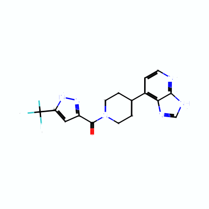 O=C(c1cc(C(F)(F)F)[nH]n1)N1CCC(c2ccnc3[nH]cnc23)CC1